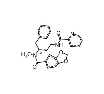 CN(C(=O)c1ccc2c(c1)OCO2)[C@H](CCNC(=O)c1ccccn1)Cc1ccccc1